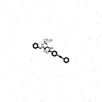 O=C(O)CC[C@H](NC(=O)c1ccc(C#Cc2ccccc2)cc1)C(=O)NCc1ccccc1